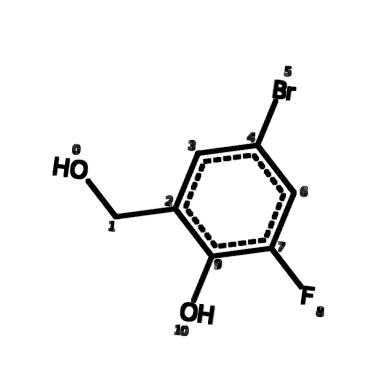 OCc1cc(Br)cc(F)c1O